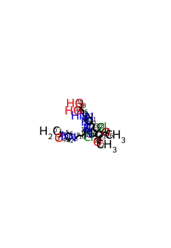 C=CC(=O)N1CCN(CCCc2cn3c(n2)c(-c2c(Cl)c(OC)cc(OC)c2Cl)cc2cnc(NCC(O)CO)nc23)CC1